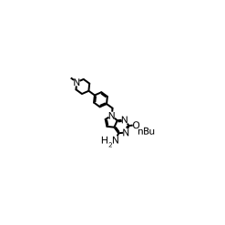 CCCCOc1nc(N)c2ccn(Cc3ccc(C4CCN(C)CC4)cc3)c2n1